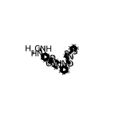 CC(=N)Nc1ccc(S(=O)(=O)N2CCN(c3ccccc3NC(=O)c3csc(-c4cccs4)n3)CC2)cc1